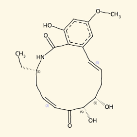 CC[C@H]1C/C=C\C(=O)[C@@H](O)[C@@H](O)C/C=C/c2cc(OC)cc(O)c2C(=O)N1